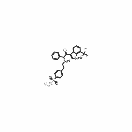 NS(=O)(=O)c1ccc(CCNC(C(=O)c2c[nH]c3c(C(F)(F)F)cccc23)c2ccccc2)cc1